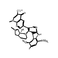 CNc1cc(F)c(OC)c2c1[nH]c1ncc(-c3cnc4c(c3)c(=O)c(C(=O)O)cn4C)c(N3CCC4CN(C)C[C@H]43)c12